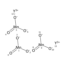 [O]=[Mn]([O-])[O-].[O]=[Mn]([O-])[O-].[O]=[Mn]([O-])[O-].[Y+3].[Y+3]